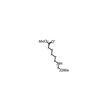 COCNCCCCCC(=O)OC